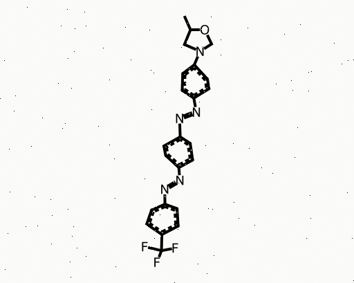 CC1CN(c2ccc(N=Nc3ccc(N=Nc4ccc(C(F)(F)F)cc4)cc3)cc2)CO1